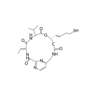 C/C=C1\NC(=O)c2nccc(n2)CNC(=O)C[C@@H](/C=C/CCS)OC(=O)C(C(C)C)NC1=O